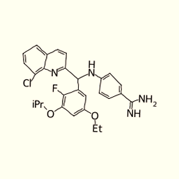 CCOc1cc(OC(C)C)c(F)c(C(Nc2ccc(C(=N)N)cc2)c2ccc3cccc(Cl)c3n2)c1